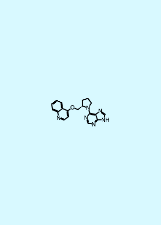 c1ccc2c(OC[C@H]3CCCN3c3ncnc4[nH]cnc34)ccnc2c1